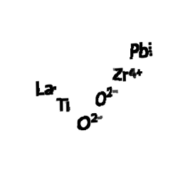 [La].[O-2].[O-2].[Pb].[Ti].[Zr+4]